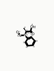 C[C@@H](C(=O)O)N(N=O)c1ccccc1